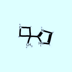 CC1(c2ncc[nH]2)COC1